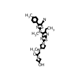 CCc1nc2sc(N3CC[C@H](N(C)CC(=O)N4CC(O)C4)C3)nn2c1N(C)c1nc(-c2ccc(C)cc2)c(C#N)s1